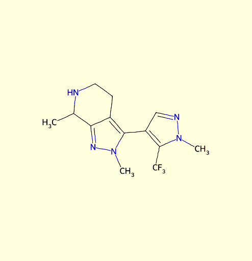 CC1NCCc2c1nn(C)c2-c1cnn(C)c1C(F)(F)F